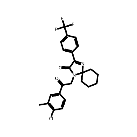 Cc1cc(C(=O)CN2C(=O)C(c3ccc(C(F)(F)F)cc3)=NC23CCCCC3)ccc1Cl